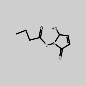 CCCC(=O)ON1C(=O)C=CC1O